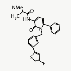 CNC(C)C(=O)Nc1ccc(-c2ccccc2)n(Cc2cccc(-c3cc(F)cs3)c2)c1=O